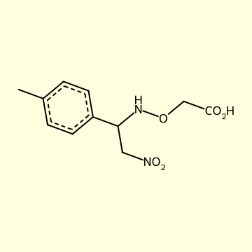 Cc1ccc(C(C[N+](=O)[O-])NOCC(=O)O)cc1